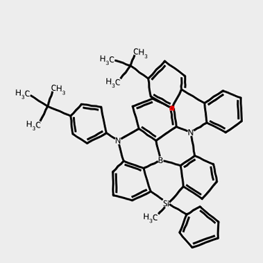 CC(C)(C)c1ccc(-c2ccccc2N2c3cccc4c3B3c5c(cccc5[Si](C)(c5ccccc5)c5cccc2c53)N4c2ccc(C(C)(C)C)cc2)cc1